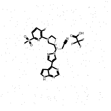 CS(=O)(=O)c1ccc(F)c(N2CC[C@H]([C@H](CC#N)n3cc(-c4ncnc5[nH]ccc45)cn3)C2)n1.O=C(O)C(F)(F)F